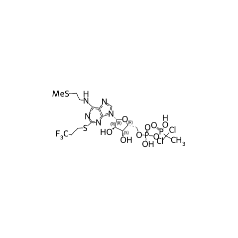 CSCCNc1nc(SCCC(F)(F)F)nc2c1ncn2[C@@H]1O[C@H](COP(=O)(O)OP(=O)(O)C(C)(Cl)Cl)[C@@H](O)[C@H]1O